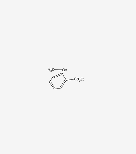 CC#N.CCOC(=O)c1ccccc1